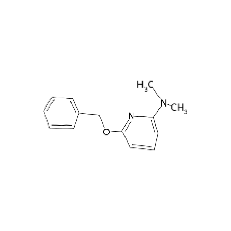 CN(C)c1cccc(OCc2ccccc2)n1